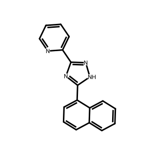 c1ccc(-c2n[nH]c(-c3cccc4ccccc34)n2)nc1